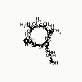 CNC(=O)C[C@@H]1NC(=O)c2csc(n2)-c2ccc(-c3nc(NC(=O)NCCC(=O)O)cs3)nc2-c2csc(n2)-c2csc(n2)[C@H]([C@@H](O)c2ccccc2)NC(=O)CNC(=O)c2nc(sc2COC)[C@@H](C(C)C)NC(=O)c2nc1sc2C